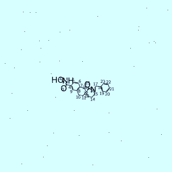 O=C(NO)c1ccc2c(c1)CCC1(CCCN(Cc3ccccc3)C1=O)C2